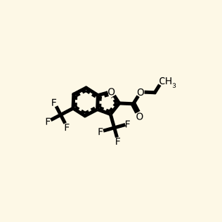 CCOC(=O)c1oc2ccc(C(F)(F)F)cc2c1C(F)(F)F